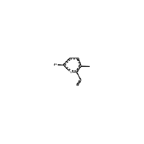 C=Cc1nc(C(C)C)ccc1C